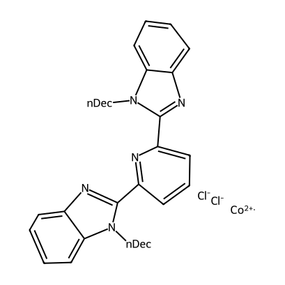 CCCCCCCCCCn1c(-c2cccc(-c3nc4ccccc4n3CCCCCCCCCC)n2)nc2ccccc21.[Cl-].[Cl-].[Co+2]